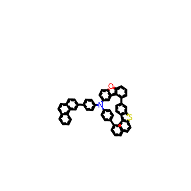 c1ccc(-c2ccc(N(c3ccc(-c4ccc5ccc6ccccc6c5c4)cc3)c3ccc4oc5cccc(-c6ccc7c(c6)sc6ccccc67)c5c4c3)cc2)cc1